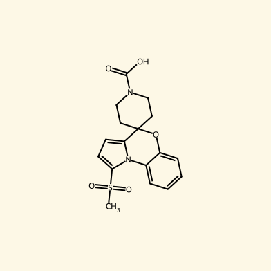 CS(=O)(=O)c1ccc2n1-c1ccccc1OC21CCN(C(=O)O)CC1